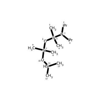 CC(C)N(C(C)C)[Si](C)(C)O[Si](C)(C)O[SiH](C)C